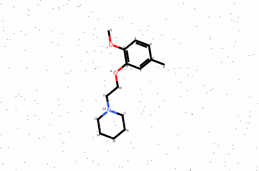 COc1ccc(C)cc1OCCN1CCCCC1